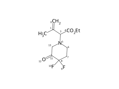 C=C(C)C(C(=O)OCC)N1CCC(F)(F)C(=O)C1